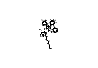 CCCCCCCCCC(Sc1nc(-c2ccccc2)c(-c2ccccc2)n1-c1ccccc1)C(=O)O